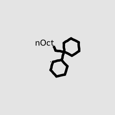 CCCCCCCCCC1(C2[CH]CCCC2)CCCCC1